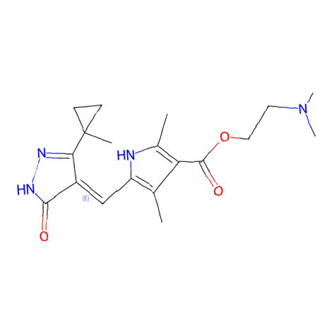 Cc1[nH]c(/C=C2/C(=O)NN=C2C2(C)CC2)c(C)c1C(=O)OCCN(C)C